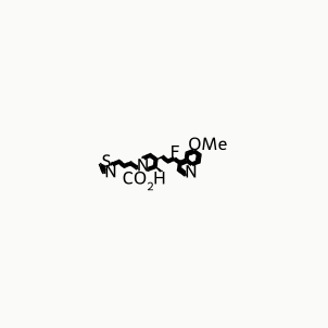 COc1ccc2nccc(C(F)CC[C@@H]3CCN(CCCCc4nccs4)C[C@@H]3CC(=O)O)c2c1